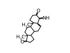 CC12CCC3C(CC=C4C(=N)C(=O)CCC43C)C1CCC2=O